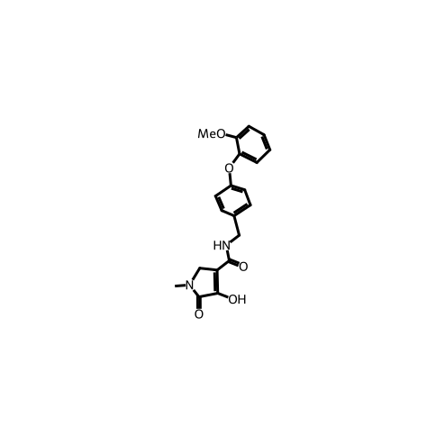 COc1ccccc1Oc1ccc(CNC(=O)C2=C(O)C(=O)N(C)C2)cc1